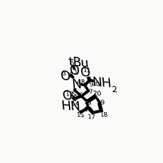 CC(C)(C)OC(=O)N1CC2(CC1C(N)=O)C(=O)NCc1ccccc12